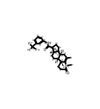 CC1=C2N(C)C(=O)CC[C@]2(C)[C@@H]2CC[C@]3(C)C(C(=O)Nc4cccc(C(F)(F)F)c4)CC[C@H]3[C@@H]2C1